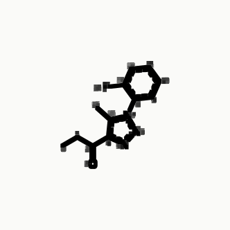 CCC(=O)c1nnn(-c2ccccc2F)c1C